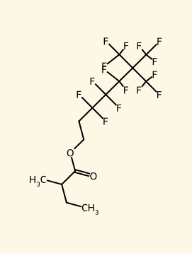 CCC(C)C(=O)OCCC(F)(F)C(F)(F)C(F)(F)C(C(F)(F)F)(C(F)(F)F)C(F)(F)F